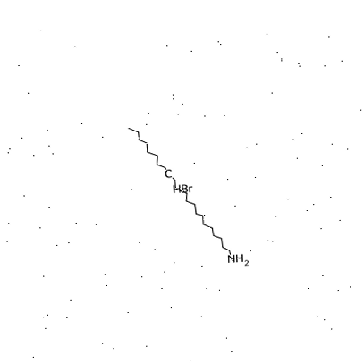 Br.CCCCCCCCCCCCCCCCCCCCCCN